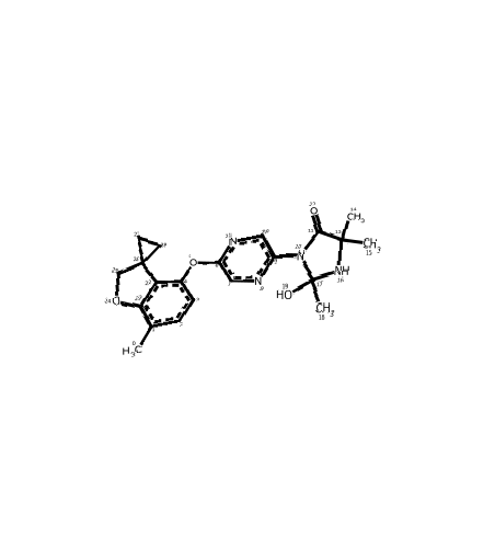 Cc1ccc(Oc2cnc(N3C(=O)C(C)(C)NC3(C)O)cn2)c2c1OCC21CC1